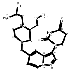 COC[C@H]1CN(Cc2ccn3ncc(N4CCC(=O)NC4=O)c3c2)CCN1CC(C)C